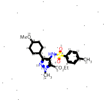 CCOC(=O)c1c(NS(=O)(=O)c2ccc(C)cc2)c(C2CCC(OC)CC2)nn1C